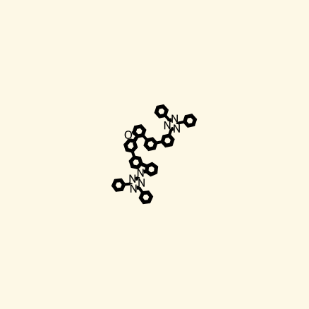 c1ccc(-c2nc(-c3ccccc3)nc(-c3cccc(-c4cccc(-c5cccc6oc7ccc(-c8ccc9c(c8)c8ccccc8n9-c8nc(-c9ccccc9)nc(-c9ccccc9)n8)cc7c56)c4)c3)n2)cc1